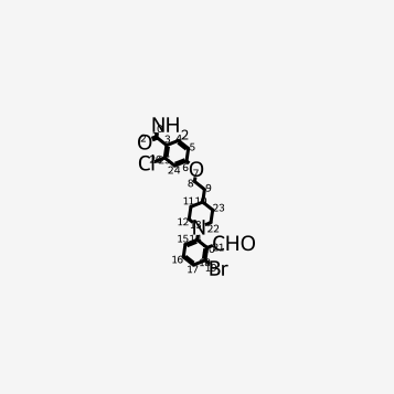 NC(=O)c1ccc(OCCC2CCN(c3cccc(Br)c3C=O)CC2)cc1Cl